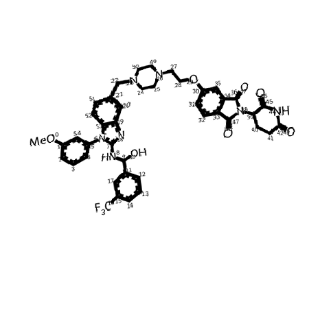 COc1cccc(-n2c(NC(O)c3cccc(C(F)(F)F)c3)nc3cc(CN4CCN(CCOc5ccc6c(c5)C(=O)N(C5CCC(=O)NC5=O)C6=O)CC4)ccc32)c1